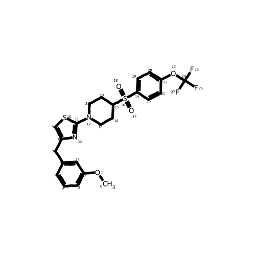 COc1cccc(Cc2csc(N3CCC(S(=O)(=O)c4ccc(OC(F)(F)F)cc4)CC3)n2)c1